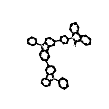 O=c1c2ccccc2c2ccccc2n1-c1ccc(-c2ccc3c(c2)c2cc(-c4ccc5c(c4)c4ccccc4n5-c4ccccc4)ccc2n3-c2ccccc2)cc1